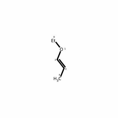 [CH2]COC=CC